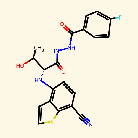 C[C@H](O)[C@@H](Nc1ccc(C#N)c2sccc12)C(=O)NNC(=O)c1ccc(F)cc1